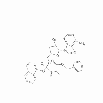 CC(NP(=O)(OCC1CC(O)[C@H](n2cnc3c(N)ncnc32)O1)Oc1cccc2ccccc12)C(=O)OCc1ccccc1